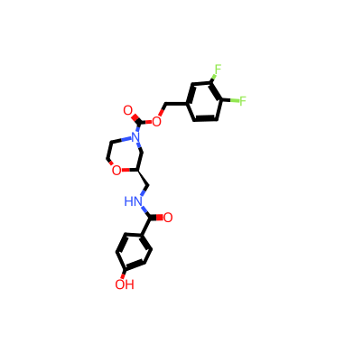 O=C(NC[C@@H]1CN(C(=O)OCc2ccc(F)c(F)c2)CCO1)c1ccc(O)cc1